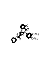 COc1ccc(N(C(=O)c2ccccc2Cl)c2nc(C(=O)NC3CCCCC3)cs2)cc1OC